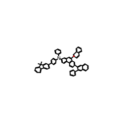 CC1(C)c2ccccc2-c2ccc(-c3ccc(N(c4ccccc4)c4ccc5c(c4)cc(-c4ccc6ccccc6c4)c4cc(-c6cc7ccccc7cc6-c6ccccc6)ccc45)cc3)cc21